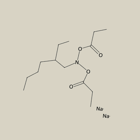 CCCCC(CC)CN(OC(=O)CC)OC(=O)CC.[Na].[Na]